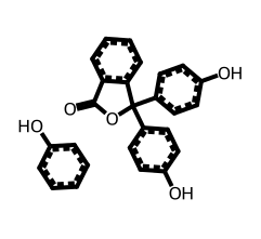 O=C1OC(c2ccc(O)cc2)(c2ccc(O)cc2)c2ccccc21.Oc1ccccc1